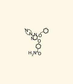 CN1CCN(c2ncc(Oc3ccc(C(N)=O)cc3)c(OCc3ccccc3)n2)CC1